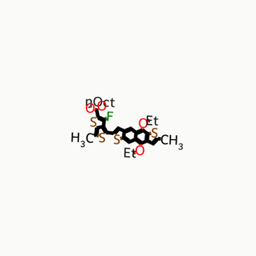 CCCCCCCCOC(=O)c1sc2c(C)sc(-c3cc4cc5c(OCC)c6sc(C)cc6c(OCC)c5cc4s3)c2c1F